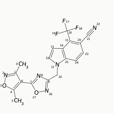 Cc1noc(C)c1-c1nc(Cn2ccc3c(C(F)(F)F)c(C#N)ccc32)no1